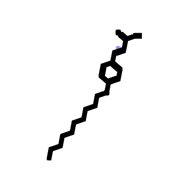 CCCCCCCCCCOc1ccc(/C=C/C(=O)O)cc1